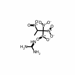 CC([N+](=O)[O-])C([N+](=O)[O-])([N+](=O)[O-])[N+](=O)[O-].N=C(N)N